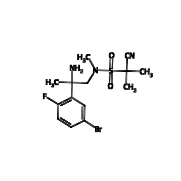 CN(CC(C)(N)c1cc(Br)ccc1F)S(=O)(=O)C(C)(C)C#N